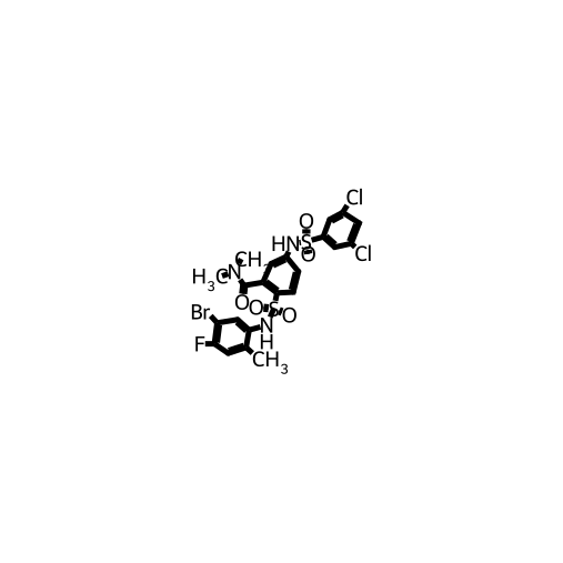 Cc1cc(F)c(Br)cc1NS(=O)(=O)c1ccc(NS(=O)(=O)c2cc(Cl)cc(Cl)c2)cc1C(=O)N(C)C